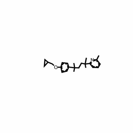 Cc1cccc(C(C)(C)CCC(C)(C)c2ccc(OCC3CC3)cc2)n1